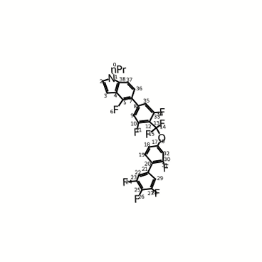 CCCn1ccc2c(F)c(-c3cc(F)c(C(F)(F)Oc4ccc(-c5cc(F)c(F)c(F)c5)c(F)c4)c(F)c3)ccc21